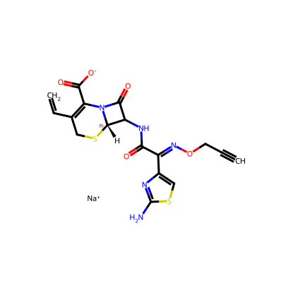 C#CCON=C(C(=O)NC1C(=O)N2C(C(=O)[O-])=C(C=C)CS[C@@H]12)c1csc(N)n1.[Na+]